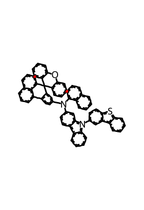 c1ccc2c(c1)Oc1ccccc1C21c2cc(N(c3ccc4c5ccccc5n(-c5ccc6sc7ccccc7c6c5)c4c3)c3cccc4ccccc34)ccc2-c2cccc3cccc1c23